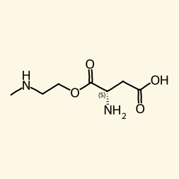 CNCCOC(=O)[C@@H](N)CC(=O)O